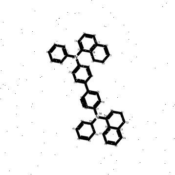 c1c(-c2ccc(N(c3ccccc3)c3cccc4c3CCC=C4)cc2)ccc(N(C2=CCCc3ccccc32)C2C=CC=CC2)c#1